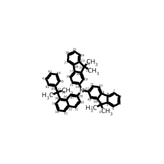 CC1(C)c2ccccc2-c2ccc(N(c3ccc4c(c3)C(C)(C)c3ccccc3-4)c3ccc4cccc(C(C)(C)c5ccccc5)c4c3)cc21